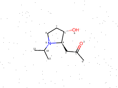 CC(=O)C[C@@H]1[C@@H](O)CCN1C(C)C